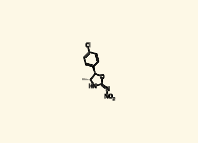 C[C@H]1NC(=N[N+](=O)[O-])O[C@@H]1c1ccc(Cl)cc1